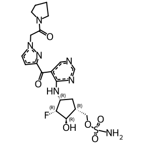 NS(=O)(=O)OC[C@H]1C[C@@H](Nc2ncncc2C(=O)c2ccn(CC(=O)N3CCCC3)n2)[C@@H](F)[C@@H]1O